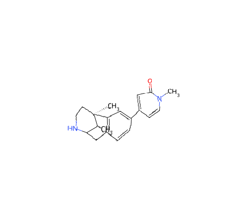 CC1C2Cc3ccc(-c4ccn(C)c(=O)c4)cc3[C@]1(C)CCN2